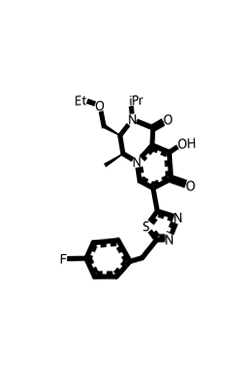 CCOC[C@@H]1[C@H](C)n2cc(-c3nnc(Cc4ccc(F)cc4)s3)c(=O)c(O)c2C(=O)N1C(C)C